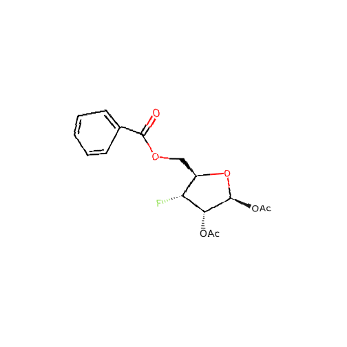 CC(=O)O[C@@H]1O[C@H](COC(=O)c2ccccc2)[C@@H](F)[C@H]1OC(C)=O